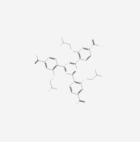 COC(=O)c1ccc(-c2nc(-c3ccc(C(=O)OC)cc3OCC(C)O)nc(-c3ccc(C(=O)OC)cc3OCC(C)O)n2)c(OCC(C)O)c1